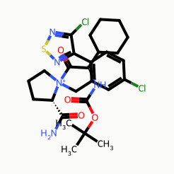 CC(C)(C)OC(=O)N[C@@H](C(=O)[N+]1(Cc2cc(Cl)ccc2-c2nsnc2Cl)CCC[C@H]1C(N)=O)C1CCCCC1